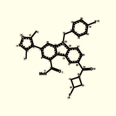 CNC(=O)c1cc(-c2c(C)noc2C)cc2c1c1cc(C(=O)N3CC(F)C3)ccc1n2Cc1ccc(F)cc1